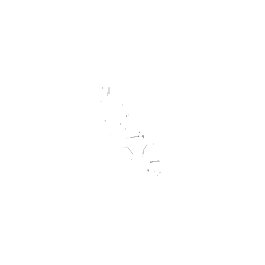 COC(=O)c1ccc(N2CCC(CN)CC2)nc1